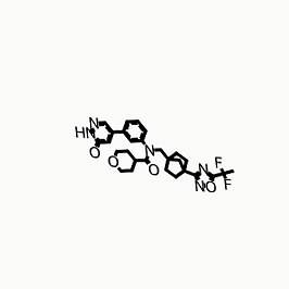 CC(F)(F)c1nc(C23CCC(CN(C(=O)C4CCOCC4)c4cccc(-c5cn[nH]c(=O)c5)c4)(CC2)C3)no1